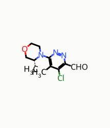 Cc1c(N2CCOC[C@H]2C)nnc(C=O)c1Cl